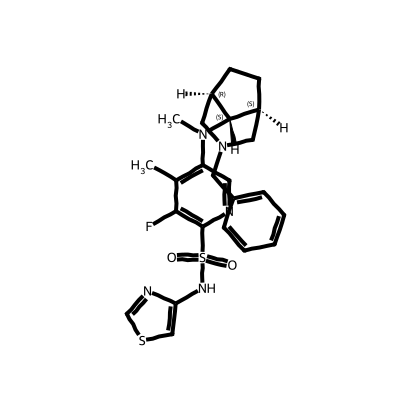 Cc1c(N(C)[C@@H]2[C@@H]3CC[C@H]2CN(Cc2ccccc2)C3)cnc(S(=O)(=O)Nc2cscn2)c1F